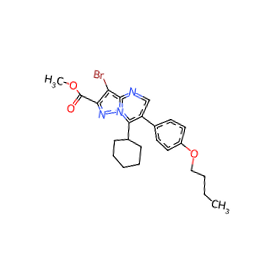 CCCCOc1ccc(-c2cnc3c(Br)c(C(=O)OC)nn3c2C2CCCCC2)cc1